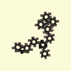 c1ccc(-c2nc(-c3cccc(-c4ccc5c(c4)-c4ccccc4C54c5ccccc5-c5ccccc54)c3)nc(-c3cccc(-c4ccc5sc6ccccc6c5c4)c3)n2)cc1